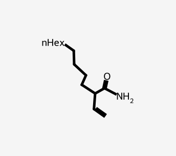 C=CC(CCCCCCCCCC)C(N)=O